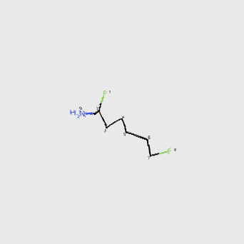 NC(F)CCCCCF